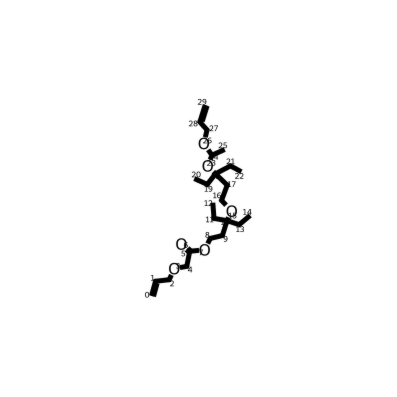 C=CCOCC(=O)OCCC(CC)(CC)OCCC(CC)(CC)OC(C)OCC=C